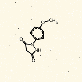 COc1ccc(N2NC(=O)CC2=O)cc1